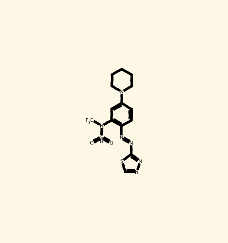 O=[SH](=O)N(c1cc(N2CCCCC2)ccc1N=Nc1nncs1)C(F)(F)F